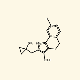 NC1(Cc2[nH]c3c(c2C(=O)O)CCc2cnc(Cl)cc2-3)CC1